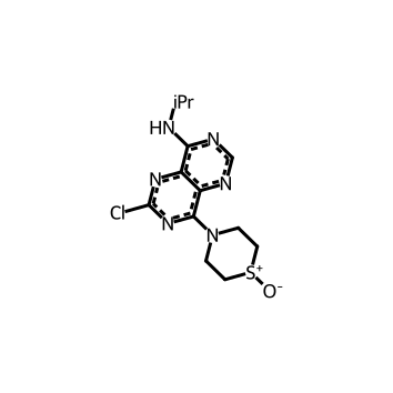 CC(C)Nc1ncnc2c(N3CC[S+]([O-])CC3)nc(Cl)nc12